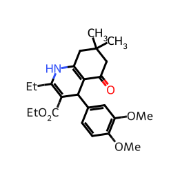 CCOC(=O)C1=C(CC)NC2=C(C(=O)CC(C)(C)C2)C1c1ccc(OC)c(OC)c1